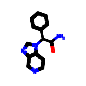 NC(=O)C(c1ccccc1)n1cnc2cnccc21